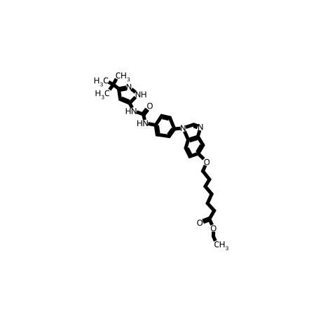 CCOC(=O)CCCCCCOc1ccc2c(c1)ncn2-c1ccc(NC(=O)Nc2cc(C(C)(C)C)n[nH]2)cc1